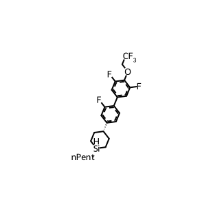 CCCCC[Si@H]1CC[C@H](c2ccc(-c3cc(F)c(OCC(F)(F)F)c(F)c3)c(F)c2)CC1